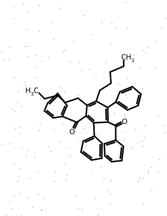 CCCCCc1c(CCCCC)c(-c2ccccc2)c(C(=O)c2ccccc2)c(-c2ccccc2)c1C(=O)c1ccccc1